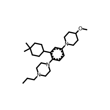 CCCN1CCN(c2ccc(N3CCC(OC)CC3)cc2C2CCC(C)(C)CC2)CC1